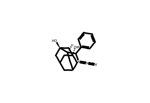 CO[C@@]12CC3CC(C1)[C@H](C(N=[N+]=[N-])c1ccccc1)[C@](O)(C3)C2